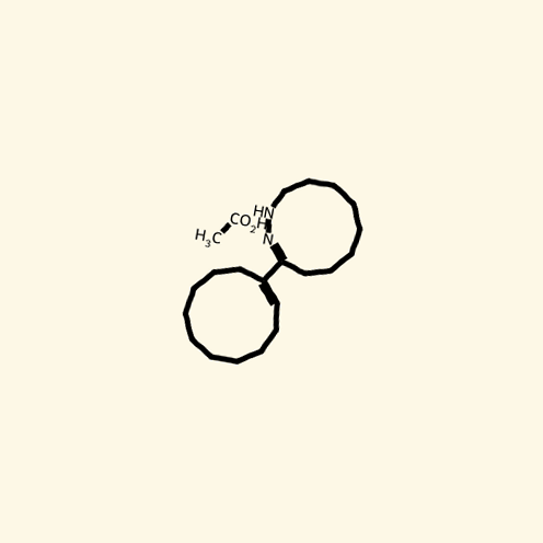 C1=C(C2=NNCCCCCCCC2)CCCCCCCCC1.CC(=O)O